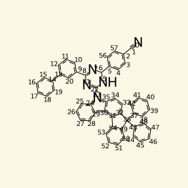 N#Cc1ccc(C2N=C(c3cccc(-c4ccccc4)c3)N=C(n3c4ccccc4c4c5c(ccc43)C(c3ccccc3)(c3ccccc3)c3ccccc3-5)N2)cc1